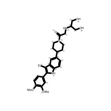 CCc1c(-c2ccc(OC)c(OC)c2)[nH]c2ccc(C3CCN(C(=O)CNC(CO)CO)CC3)cc12